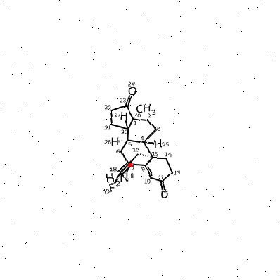 C[C@]12CC[C@H]3[C@@H](C[C@H](N)C4=CC(=O)CC[C@@]43CC#CF)[C@@H]1CCC2=O